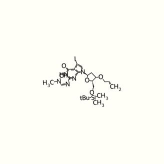 C=CCOC1C[C@H](n2cc(I)c3c(=O)[nH]c(/N=C\N(C)C)nc32)O[C@@H]1CO[Si](C)(C)C(C)(C)C